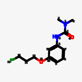 CN(C)C(=O)Nc1cccc(OCCCF)c1